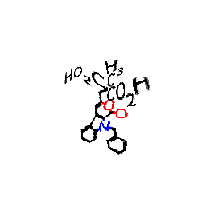 CC(Cc1cc2c3ccccc3n(Cc3ccccc3)c2c(=O)o1)(C(=O)O)C(=O)O